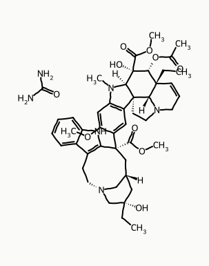 CC[C@]1(O)C[C@@H]2C[N@@](CCc3c([nH]c4ccccc34)[C@@](C(=O)OC)(c3cc4c(cc3OC)N(C)[C@H]3[C@@](O)(C(=O)OC)[C@H](OC(C)=O)[C@]5(CC)C=CCN6CC[C@]43[C@@H]65)C2)C1.NC(N)=O